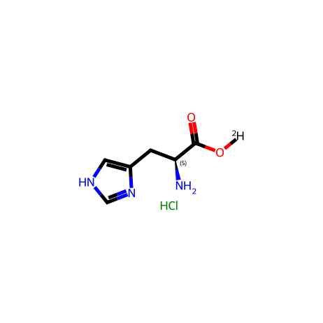 Cl.[2H]OC(=O)[C@@H](N)Cc1c[nH]cn1